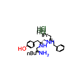 CCCC[C@@H](N)CN[C@@H](CN[C@H](CCc1ccccc1)CC(C)C)Cc1ccc(O)cc1.Cl.Cl.Cl